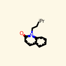 CC(C)CCn1c(=O)ccc2ccccc21